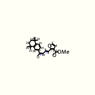 COC(=O)c1ccoc1/C=C/C=C(/C)c1ccc2c(c1)C(C)(C)CCC2(C)C